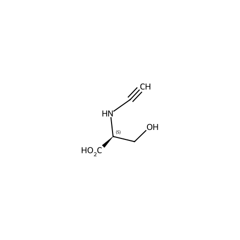 C#CN[C@@H](CO)C(=O)O